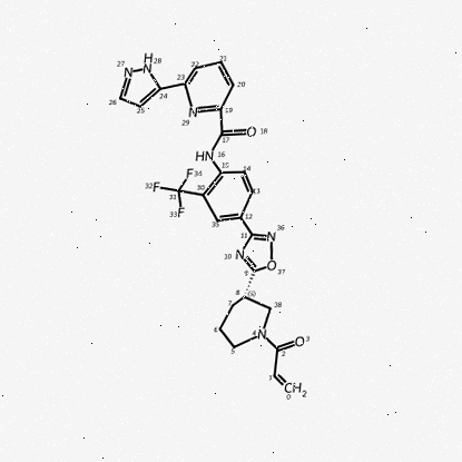 C=CC(=O)N1CCC[C@H](c2nc(-c3ccc(NC(=O)c4cccc(-c5ccn[nH]5)n4)c(C(F)(F)F)c3)no2)C1